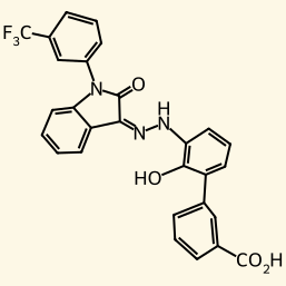 O=C(O)c1cccc(-c2cccc(NN=C3C(=O)N(c4cccc(C(F)(F)F)c4)c4ccccc43)c2O)c1